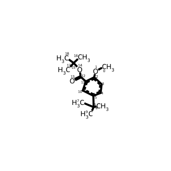 COc1ccc(C(C)(C)C)cc1C(=O)OC(C)(C)C